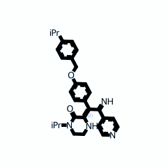 CC(C)c1ccc(COc2ccc(/C(C(=N)c3ccncc3)=C3/NCCN(C(C)C)C3=O)cc2)cc1